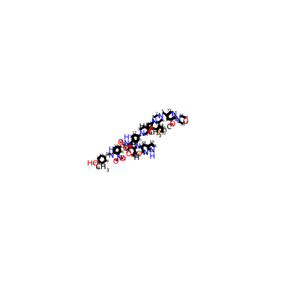 COc1cc(CN2CCN(C3CC4(CCN(c5ccc(C(=O)NS(=O)(=O)c6ccc(NC[C@H]7CC[C@](C)(O)CC7)c([N+](=O)[O-])c6)c(N6c7cc8cc[nH]c8nc7O[C@H]7COCC[C@@H]76)c5)CC4)C3)[C@H](c3ccsc3C(C)C)C2)cnc1N1CCOCC1